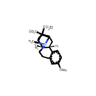 CCOC(=O)C1(C(=O)OCC)C[C@@]2(C)C3Cc4cc(OC)ccc4[C@@]2(C)CC1N3C